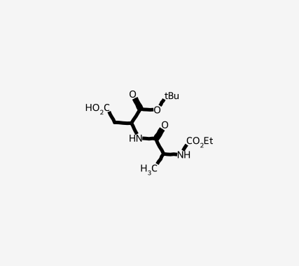 CCOC(=O)NC(C)C(=O)NC(CC(=O)O)C(=O)OC(C)(C)C